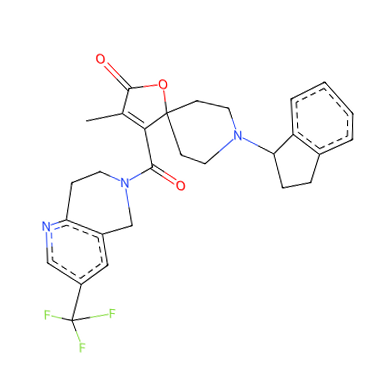 CC1=C(C(=O)N2CCc3ncc(C(F)(F)F)cc3C2)C2(CCN(C3CCc4ccccc43)CC2)OC1=O